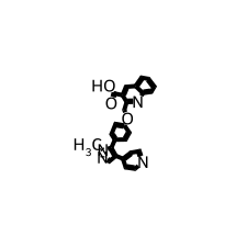 Cn1ncc(-c2ccncc2)c1-c1ccc(OCc2nc3ccccc3cc2C(=O)O)cc1